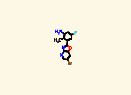 Cc1c(N)cc(F)cc1-c1nc2ncc(Br)cc2o1